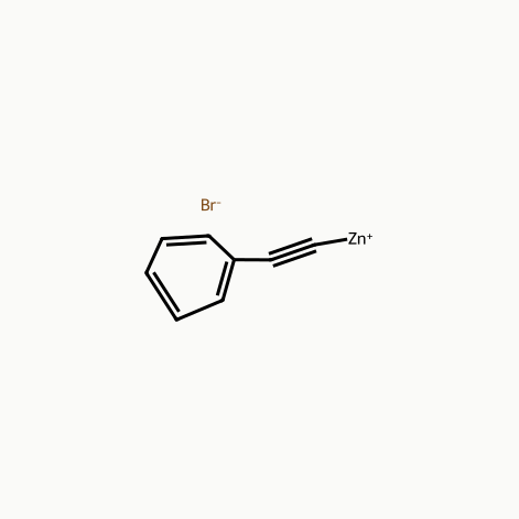 [Br-].[Zn+][C]#Cc1ccccc1